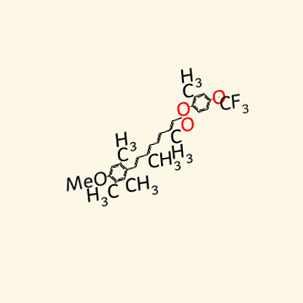 COc1cc(C)c(/C=C/C(C)=C/C=C/C(C)=C/C(=O)Oc2ccc(OC(F)(F)F)cc2C)c(C)c1C